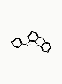 c1ccc(Nc2cccc3c2Sc2ccccc2S3)cc1